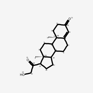 C[C@]12CCC3C(CCC4=CC(=O)CC[C@@]43C)C1CCC2C(=O)CO